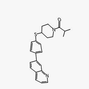 CC(C)C(=O)N1CCC(Sc2ccc(-c3ccc4cccnc4c3)cc2)CC1